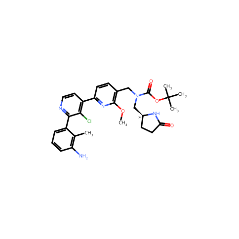 COc1nc(-c2ccnc(-c3cccc(N)c3C)c2Cl)ccc1CN(C[C@@H]1CCC(=O)N1)C(=O)OC(C)(C)C